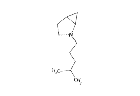 CC(C)CCCN1CCC2CC21